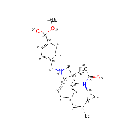 CCC(=Cc1ccccc1)C1C[C@@H]1N(CC1(C)CN(Cc2ccc(C(=O)OC(C)(C)C)cc2)C1)C(=O)C(F)(F)F